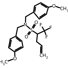 C=CCC(C(F)(F)F)S(=O)(=O)N(Cc1ccc(OC)cc1)Cc1ccc(OC)cc1